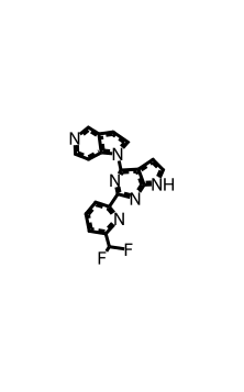 FC(F)c1cccc(-c2nc(-n3ccc4cnccc43)c3cc[nH]c3n2)n1